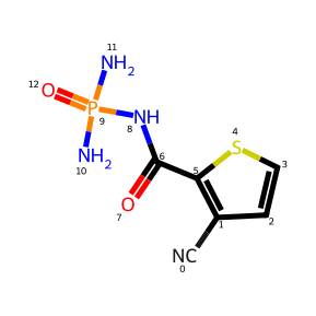 N#Cc1ccsc1C(=O)NP(N)(N)=O